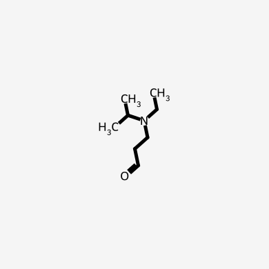 CCN(CCC=O)C(C)C